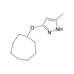 Cc1cc(OC2CCCCCCC2)n[nH]1